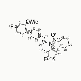 COc1cc(F)ccc1N1CCN(CC2CCc3c(F)cccc3N2C(=O)C2CCCCC2)CC1